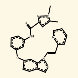 Cc1cc(C(=O)Nc2cccc(Oc3ccc4cnn(C=Cc5ccccn5)c4c3)c2)nn1C